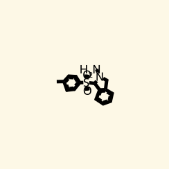 Cc1ccc(S(=O)(=O)C2c3ccccc3CN2N)cc1